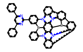 c1ccc(-c2cc(-c3ccccc3)nc(-c3ccc4c(c3)B3c5ccccc5-n5c6cccc7c8ccc9c%10c8n(c8c%11c%12c(c3c85)n-4c3cccc4c5ccc-9c(c5n%12c43)B%10%11)c76)n2)cc1